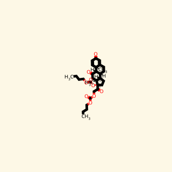 CCCCOC(=O)OCC(=O)[C@@]1(OC(=O)OCCCC)CC[C@H]2[C@@H]3CCC4=CC(=O)C=C[C@]4(C)[C@H]3C(=O)C[C@@]21C